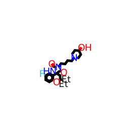 CCC1(CC)CC2(NC(=O)N(CCCCN3CCC(O)CC3)C2=O)c2cc(F)ccc2O1